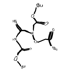 CC(C)(C)OC(=O)NC(=N)N(OC(=O)C(C)(C)C)C(=O)OC(C)(C)C